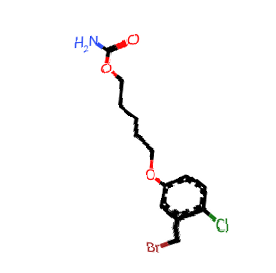 NC(=O)OCCCCCOc1ccc(Cl)c(CBr)c1